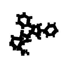 Cn1c(-c2ccccc2)nc(-c2ccccc2)c1-c1nc2cncc(N)c2s1